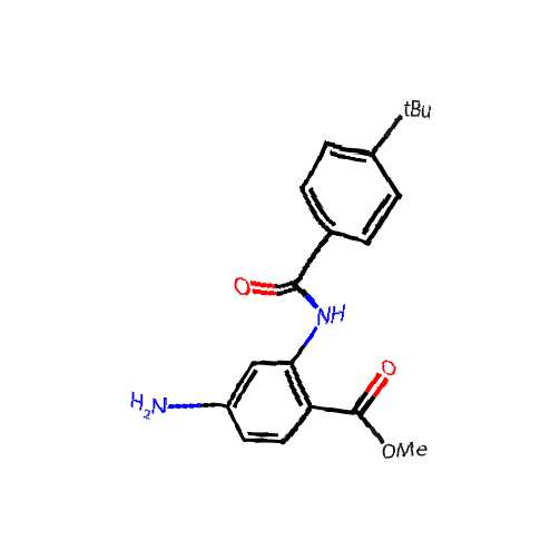 COC(=O)c1ccc(N)cc1NC(=O)c1ccc(C(C)(C)C)cc1